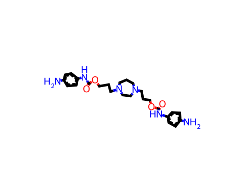 Nc1ccc(NC(=O)OCCCN2CCCN(CCCOC(=O)Nc3ccc(N)cc3)CC2)cc1